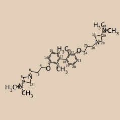 Cc1c(OCCCN2CC(N(C)C)C2)cccc1-c1cccc(OCCCN2CC(N(C)C)C2)c1C